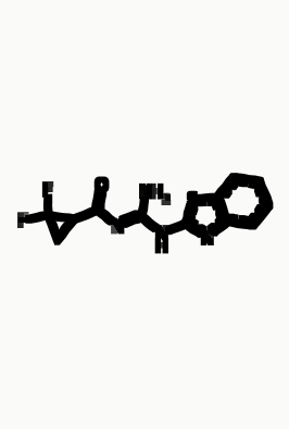 N/C(=N\C(=O)C1CC1(F)F)Nc1nc2ccccc2s1